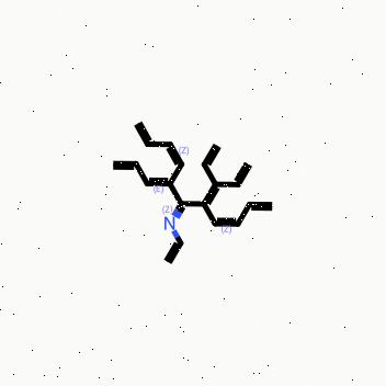 C=C/C=C\C(=C(C=C)C=C)C(=N\C=C)/C(/C=C\C=C)=C/C=C